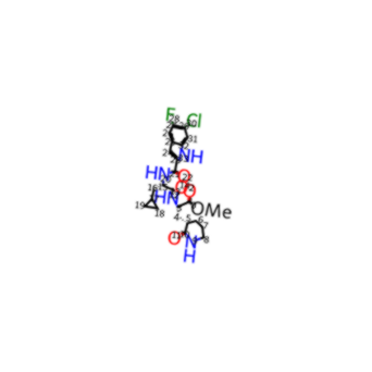 COC(=O)[C@H](C[C@@H]1CCCNC1=O)NC(=O)[C@H](CC1CC1)NC(=O)c1cc2cc(F)c(Cl)cc2[nH]1